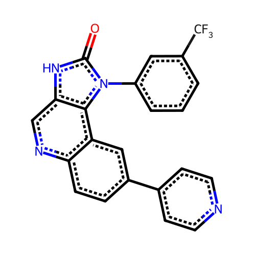 O=c1[nH]c2cnc3ccc(-c4ccncc4)cc3c2n1-c1cccc(C(F)(F)F)c1